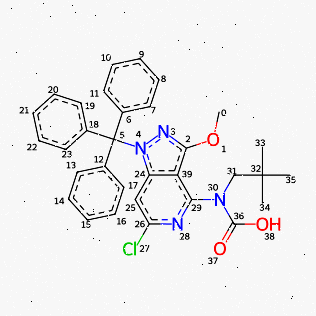 COc1nn(C(c2ccccc2)(c2ccccc2)c2ccccc2)c2cc(Cl)nc(N(CC(C)(C)C)C(=O)O)c12